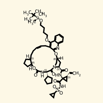 C=C[C@@H]1C[C@]1(NC(=O)[C@@H]1C[C@@H]2CN1C(=O)[C@H](C1CCCC1)NC(=O)O[C@@H]1CCC[C@H]1CCC=CCc1c(nc3ccccc3c1OCCCCO[Si](C)(C)C(C)(C)C)O2)C(=O)NS(=O)(=O)C1CC1